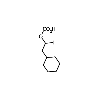 O=C(O)OC(I)CC1CCCCC1